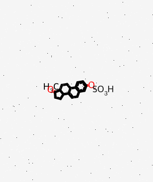 CC12CCC3C(=CCc4cc(OS(=O)(=O)O)ccc43)C1CCC2=O